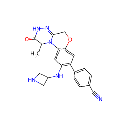 CC1C(=O)NN=C2COc3cc(-c4ccc(C#N)cc4)c(NC4CNC4)cc3N21